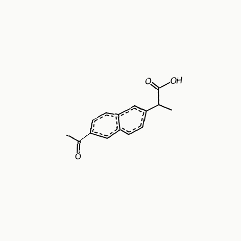 CC(=O)c1ccc2cc(C(C)C(=O)O)ccc2c1